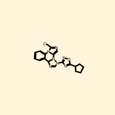 Clc1ncc2n1-c1ccccc1C1N=CN(c3noc(C4CCCC4)n3)N21